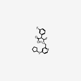 O=C(O)C(c1cccc(F)c1)C(F)OCc1cc(SC2CCCC2)ccn1